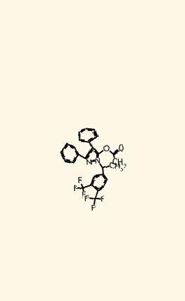 CC(=O)Oc1c(-c2ccccc2)c(-c2ccccc2)nn1C(C)c1ccc(C(F)(F)F)c(C(F)(F)F)c1